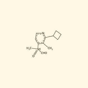 Cc1c([SH](C)(=O)C=O)ccnc1C1CCC1